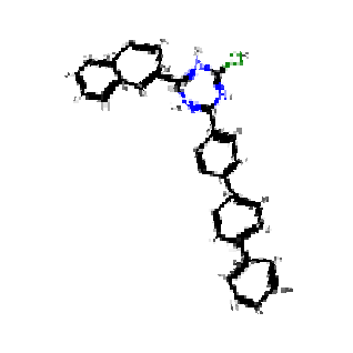 Clc1nc(-c2ccc(-c3ccc(-c4ccccc4)cc3)cc2)nc(-c2ccc3ccccc3c2)n1